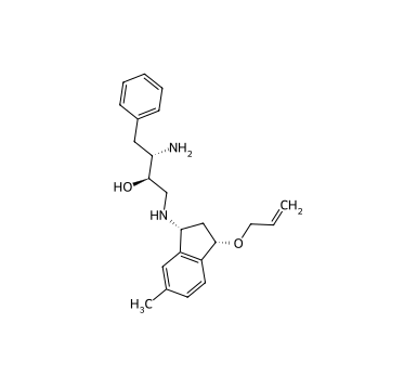 C=CCO[C@H]1C[C@@H](NC[C@@H](O)[C@@H](N)Cc2ccccc2)c2cc(C)ccc21